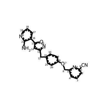 N#Cc1cccc(COc2ccc(Cc3cc(-c4cccnc4N)on3)cc2)n1